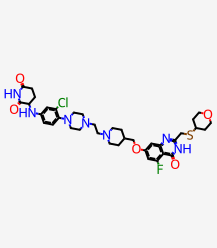 O=C1CCC(Nc2ccc(N3CCN(CCN4CCC(COc5cc(F)c6c(=O)[nH]c(CSC7CCOCC7)nc6c5)CC4)CC3)c(Cl)c2)C(=O)N1